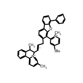 Cc1ccc2[n+](c1)C(/C=C/Cc1ccc3c(oc4c(-c5ccccc5)cccc43)c1-c1cc(C(C)(C)C)cc[n+]1C)C(C)c1ccccc1-2